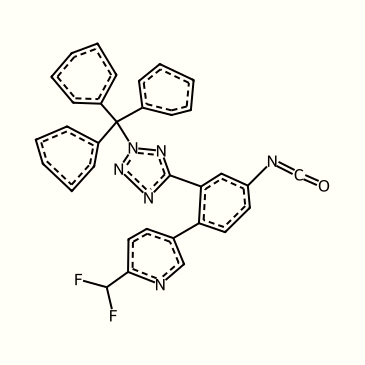 O=C=Nc1ccc(-c2ccc(C(F)F)nc2)c(-c2nnn(C(c3ccccc3)(c3ccccc3)c3ccccc3)n2)c1